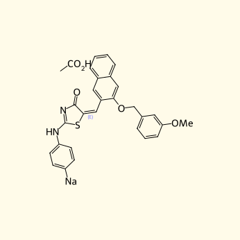 CC(=O)O.COc1cccc(COc2cc3ccccc3cc2/C=C2/SC(Nc3cc[c]([Na])cc3)=NC2=O)c1